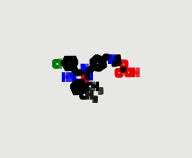 Cc1ccc(NC(c2cccc(Cl)c2)c2nc(-c3ccc(CN4CC(OC(=O)O)C4)cc3)no2)cc1C